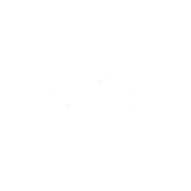 C=N/C(=N\C(=C/C)NC(=O)COCc1ccnc(OC)c1)c1ccccn1